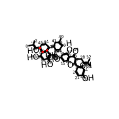 CC(C)=CCc1cc(C(=O)[C@@H]2[C@@H](c3c(O)cc4oc(-c5ccc(O)cc5O)c(CC=C(C)C)c(=O)c4c3O)C=C(C)C[C@H]2c2ccc(O)cc2O)c(O)cc1O